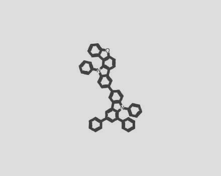 c1ccc(-c2cc(-c3ccccc3)c3c(c2)c2cc(-c4ccc5c(c4)c4ccc6oc7ccccc7c6c4n5-c4ccccc4)ccc2n3-c2ccccc2)cc1